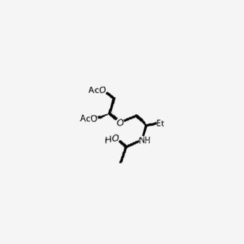 CCC(CO[C@H](COC(C)=O)OC(C)=O)NC(C)O